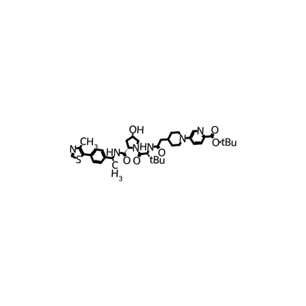 Cc1ncsc1-c1ccc([C@H](C)NC(=O)[C@@H]2C[C@@H](O)CN2C(=O)[C@@H](NC(=O)CC2CCN(c3ccc(C(=O)OC(C)(C)C)nc3)CC2)C(C)(C)C)cc1